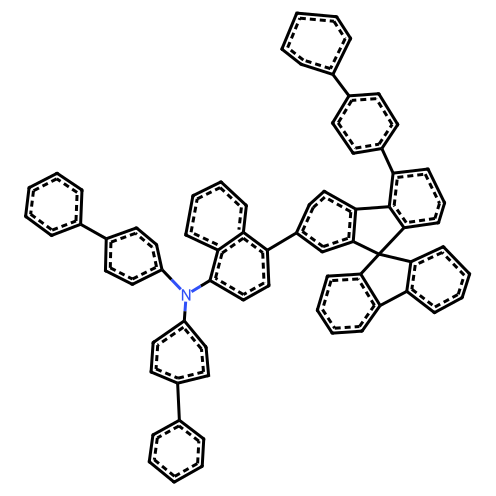 c1ccc(-c2ccc(-c3cccc4c3-c3ccc(-c5ccc(N(c6ccc(-c7ccccc7)cc6)c6ccc(-c7ccccc7)cc6)c6ccccc56)cc3C43c4ccccc4-c4ccccc43)cc2)cc1